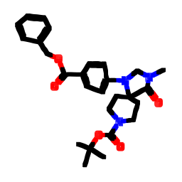 CN1CN(c2ccc(C(=O)OCc3ccccc3)cc2)C2(CCN(C(=O)OC(C)(C)C)CC2)C1=O